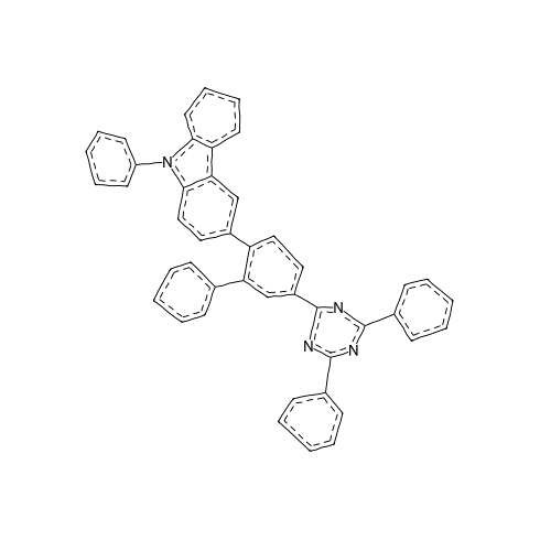 c1ccc(-c2nc(-c3ccccc3)nc(-c3ccc(-c4ccc5c(c4)c4ccccc4n5-c4ccccc4)c(-c4ccccc4)c3)n2)cc1